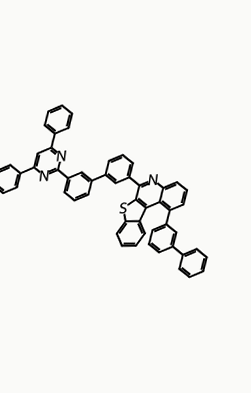 c1ccc(-c2cccc(-c3cccc4nc(-c5cccc(-c6cccc(-c7nc(-c8ccccc8)cc(-c8ccccc8)n7)c6)c5)c5sc6ccccc6c5c34)c2)cc1